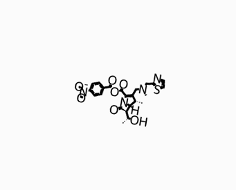 C[C@@H](O)[C@H]1C(=O)N2C(C(=O)OC(=O)c3ccc([N+](=O)[O-])cc3)=C(CN(C)Cc3nccs3)[C@H](C)[C@H]12